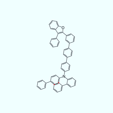 c1ccc(-c2ccc(N(c3ccc(-c4ccc(-c5cccc(-c6oc7ccccc7c6-c6ccccc6)c5)cc4)cc3)c3ccccc3-c3ccccc3)cc2)cc1